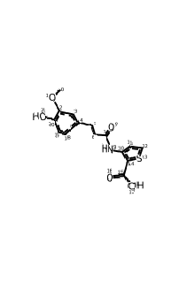 COc1cc(C=CC(=O)Nc2ccsc2C(=O)O)ccc1O